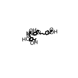 CC(C)c1cc(-c2nnc(O)n2-c2ccc3c(ccn3CCCC3CCN(C(=O)O)CC3)c2)c(O)cc1O